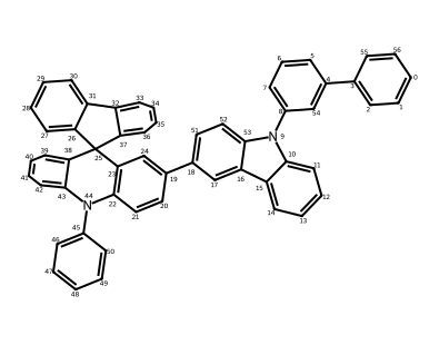 c1ccc(-c2cccc(-n3c4ccccc4c4cc(-c5ccc6c(c5)C5(c7ccccc7-c7ccccc75)c5ccccc5N6c5ccccc5)ccc43)c2)cc1